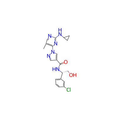 Cc1cnc(NC2CC2)nc1-n1cc(C(=O)N[C@H](CO)c2cccc(Cl)c2)cn1